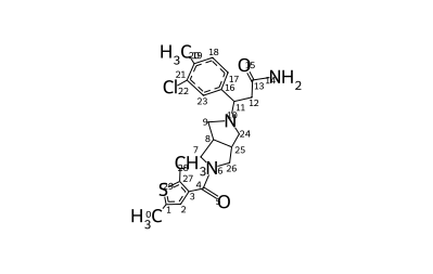 Cc1cc(C(=O)N2CC3CN(C(CC(N)=O)c4ccc(C)c(Cl)c4)CC3C2)c(C)s1